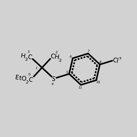 CCOC(=O)C(C)(C)Sc1ccc(Cl)cc1